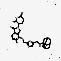 O=C1CCC(N2Cc3c(ccc(F)c3SCc3nc(CNC45CC6CC(CC(C6)C4)C5)cs3)C2=O)C(=O)N1